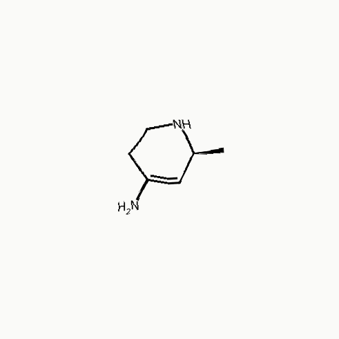 C[C@H]1C=C(N)CCN1